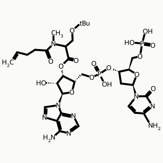 C=CCCC(=O)N(C)C(COC(C)(C)C)C(=O)O[C@H]1[C@@H](O)[C@H](n2cnc3c(N)ncnc32)O[C@H]1COP(=O)(O)O[C@H]1C[C@H](n2ccc(N)nc2=O)O[C@@H]1COP(=O)(O)O